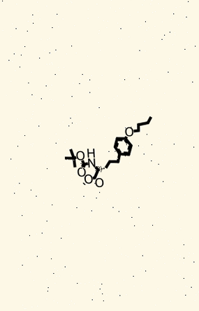 CCCCOc1ccc(CCC[C@@H](NC(=O)OC(C)(C)C)C(=O)OC)cc1